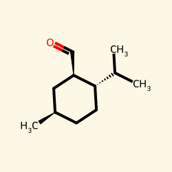 CC(C)[C@@H]1CC[C@@H](C)C[C@H]1C=O